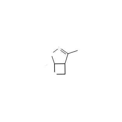 CC1=NO[C@]2(C)OCC12